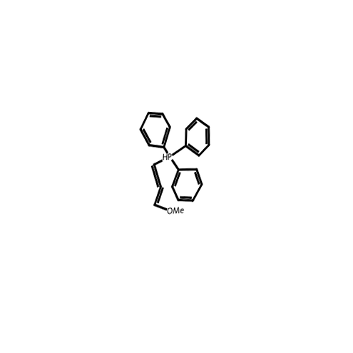 COC=C=C[PH](c1ccccc1)(c1ccccc1)c1ccccc1